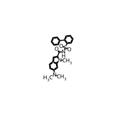 CN(C)c1ccc2cc(C(=O)NS(=O)(=O)c3ccccc3-c3ccccc3)n(C)c2c1